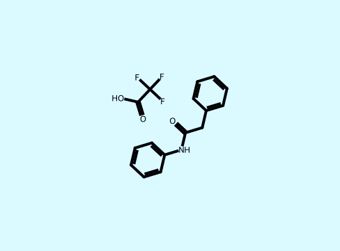 O=C(Cc1ccccc1)Nc1ccccc1.O=C(O)C(F)(F)F